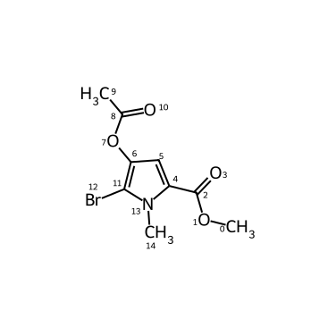 COC(=O)c1cc(OC(C)=O)c(Br)n1C